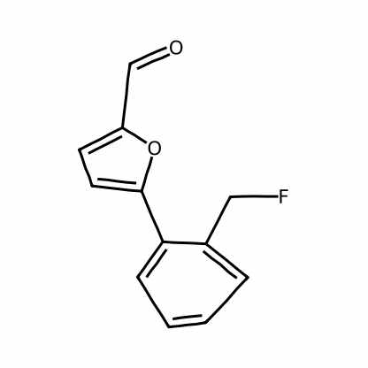 O=Cc1ccc(-c2ccccc2CF)o1